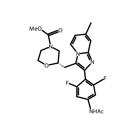 COC(=O)N1CCO[C@@H](Cc2c(-c3c(F)cc(NC(C)=O)cc3F)nc3cc(C)ccn23)C1